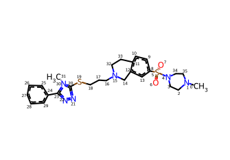 CN1CCN(S(=O)(=O)c2ccc3c(c2)CN(CCCSc2nnc(-c4ccccc4)n2C)CC3)CC1